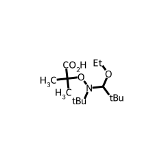 CCOC(N(OC(C)(C)C(=O)O)C(C)(C)C)C(C)(C)C